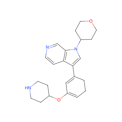 C1=C(OC2CCNCC2)C=C(c2cn(C3CCOCC3)c3cnccc23)CC1